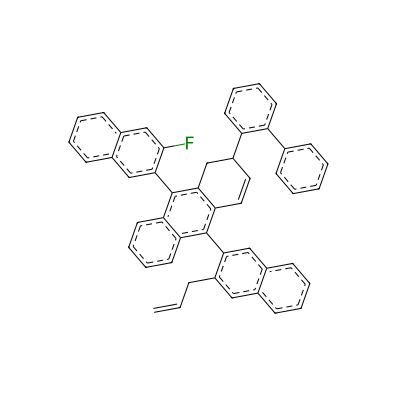 C=CCc1cc2ccccc2cc1-c1c2c(c(-c3cc4ccccc4cc3F)c3ccccc13)CC(c1ccccc1-c1ccccc1)C=C2